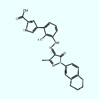 CC1=NN(c2ccc3c(c2)CCCC3)C(=O)/C1=N\Nc1cccc(-c2c[nH]c(C(=O)O)c2)c1O